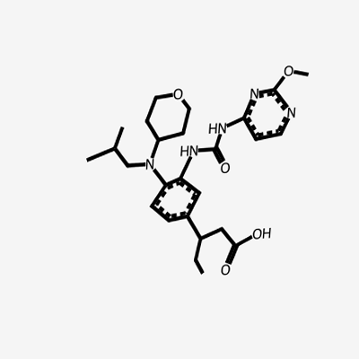 CCC(CC(=O)O)c1ccc(N(CC(C)C)C2CCOCC2)c(NC(=O)Nc2ccnc(OC)n2)c1